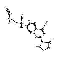 CC1CNC(=O)N1c1cc(Cl)c2cnc(NC(=O)C3CC3C#N)cc2c1